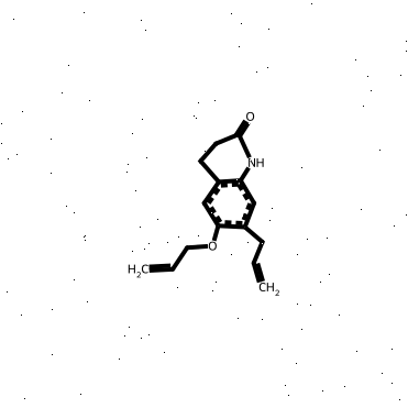 C=CCOc1cc2c(cc1CC=C)NC(=O)CC2